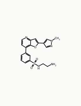 Cn1cc(-c2cc3nccc(-c4cccc(S(=O)(=O)NCCN)c4)c3o2)cn1